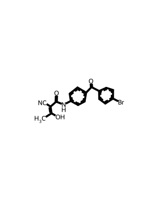 CC(O)=C(C#N)C(=O)Nc1ccc(C(=O)c2ccc(Br)cc2)cc1